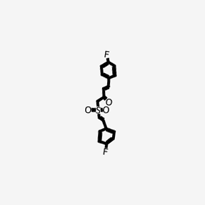 O=C(C=Cc1ccc(F)cc1)CS(=O)(=O)C=Cc1ccc(F)cc1